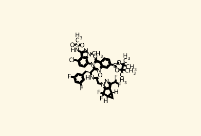 Cn1nc(NS(C)(=O)=O)c2c(Cl)ccc(-n3c([C@H](Cc4cc(F)cc(F)c4)NC(=O)Cn4nc(C(F)F)c5c4C(F)(F)[C@H]4C[C@@H]54)nc4cc(B5OC(C)(C)C(C)(C)O5)ccc4c3=O)c21